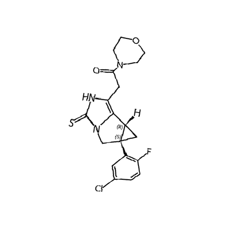 O=C(Cc1[nH]c(=S)n2c1[C@@H]1C[C@]1(c1cc(Cl)ccc1F)C2)N1CCOCC1